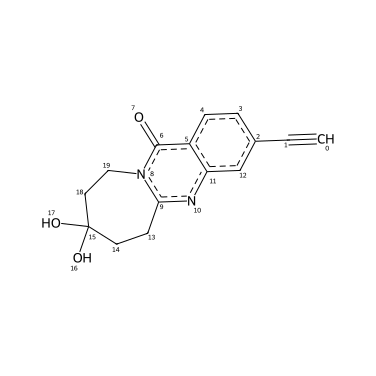 C#Cc1ccc2c(=O)n3c(nc2c1)CCC(O)(O)CC3